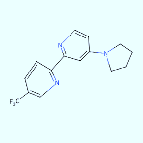 FC(F)(F)c1ccc(-c2cc(N3CCCC3)ccn2)nc1